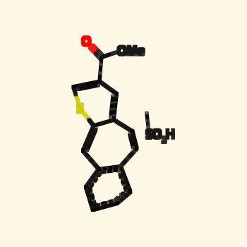 COC(=O)C1=CSC2=Cc3ccccc3C=CC2=C1.CS(=O)(=O)O